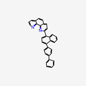 c1ccc(-c2ccc(-c3ccc(-c4ccc5ccc6cccnc6c5n4)c4ccccc34)cc2)cc1